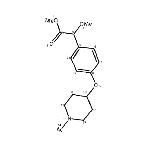 COC(=O)C(OC)c1ccc(OC2CCN(C(C)=O)CC2)cc1